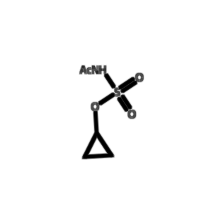 CC(=O)NS(=O)(=O)OC1CC1